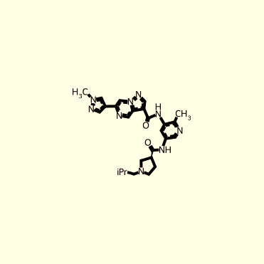 Cc1ncc(NC(=O)[C@H]2CCN(CC(C)C)C2)cc1NC(=O)c1cnn2cc(-c3cnn(C)c3)ncc12